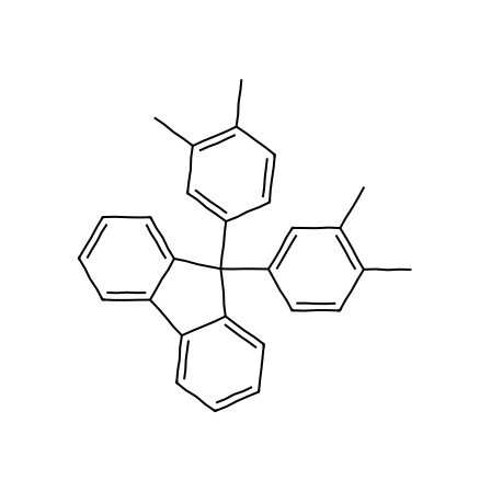 Cc1ccc(C2(c3ccc(C)c(C)c3)c3ccccc3-c3ccccc32)cc1C